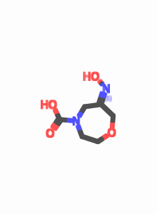 O=C(O)N1CCOC/C(=N/O)C1